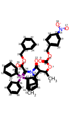 C=CCC1C(C(C)OC(=O)OCc2ccc([N+](=O)[O-])cc2)C(=O)N1C(C(=O)OCc1ccccc1)=P(c1ccccc1)(c1ccccc1)c1ccccc1